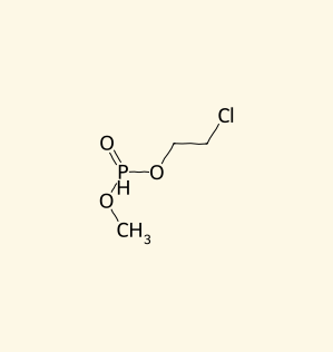 CO[PH](=O)OCCCl